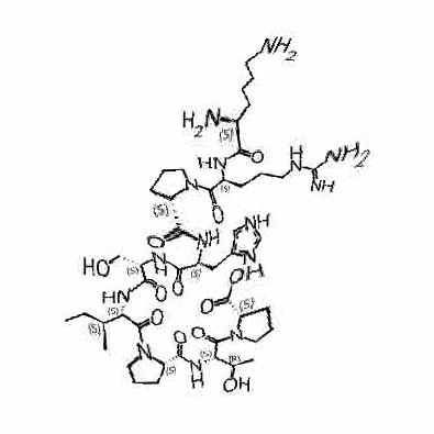 CC[C@H](C)[C@H](NC(=O)[C@H](CO)NC(=O)[C@H](Cc1c[nH]cn1)NC(=O)[C@@H]1CCCN1C(=O)[C@H](CCCNC(=N)N)NC(=O)[C@@H](N)CCCCN)C(=O)N1CCC[C@H]1C(=O)N[C@H](C(=O)N1CCC[C@H]1C(=O)O)[C@@H](C)O